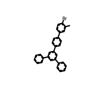 Cc1cc(-c2ccc(-c3cc(-c4ccccc4)cc(-c4ccccc4)c3)cc2)ccc1Br